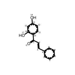 O=C(C=Cc1ccccc1)c1ccc(O)cc1O